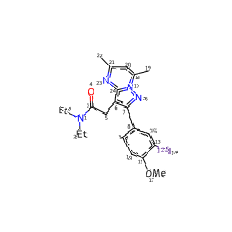 CCN(CC)C(=O)Cc1c(-c2ccc(OC)c([125I])c2)nn2c(C)cc(C)nc12